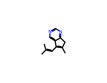 CC(C)=CC1=C(C)Cc2ncncc21